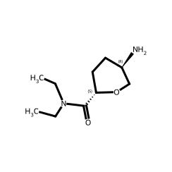 CCN(CC)C(=O)[C@@H]1CC[C@@H](N)CO1